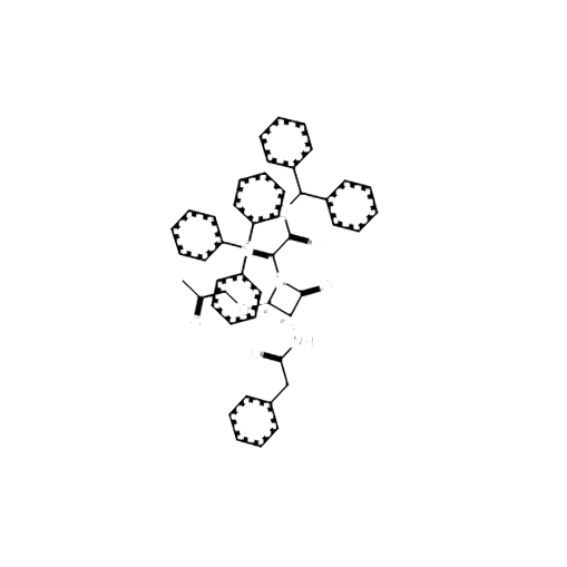 CC(=O)CO[C@@H]1[C@@H](NC(=O)Cc2ccccc2)C(=O)N1C(C(=O)OC(c1ccccc1)c1ccccc1)=P(c1ccccc1)(c1ccccc1)c1ccccc1